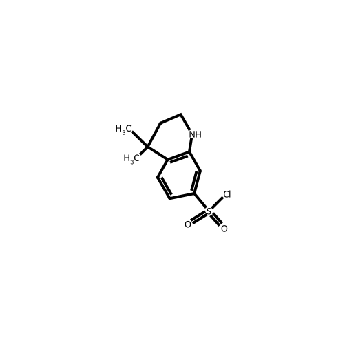 CC1(C)CCNc2cc(S(=O)(=O)Cl)ccc21